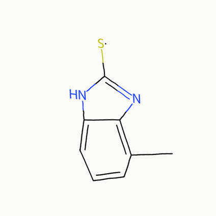 Cc1cccc2[nH]c([S])nc12